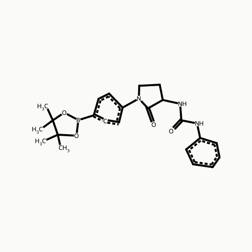 CC1(C)OB(c2ccc(N3CCC(NC(=O)Nc4ccccc4)C3=O)cc2)OC1(C)C